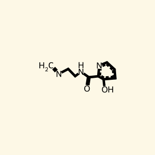 C=NCCNC(=O)c1ncccc1O